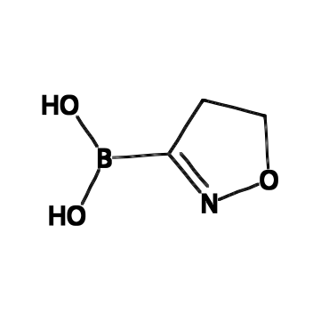 OB(O)C1=NOCC1